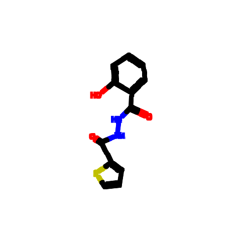 O=C(NNC(=O)c1ccccc1O)c1cccs1